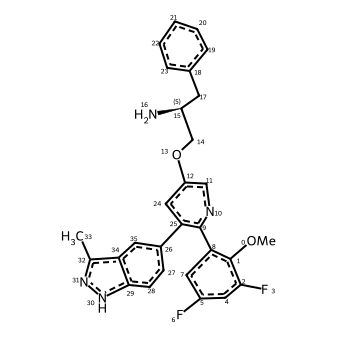 COc1c(F)cc(F)cc1-c1ncc(OC[C@@H](N)Cc2ccccc2)cc1-c1ccc2[nH]nc(C)c2c1